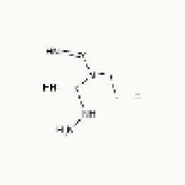 C=CCN([C]=N)C(=N)NN